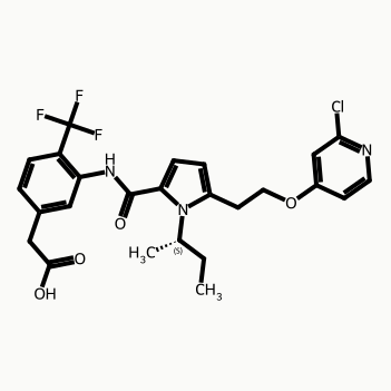 CC[C@H](C)n1c(CCOc2ccnc(Cl)c2)ccc1C(=O)Nc1cc(CC(=O)O)ccc1C(F)(F)F